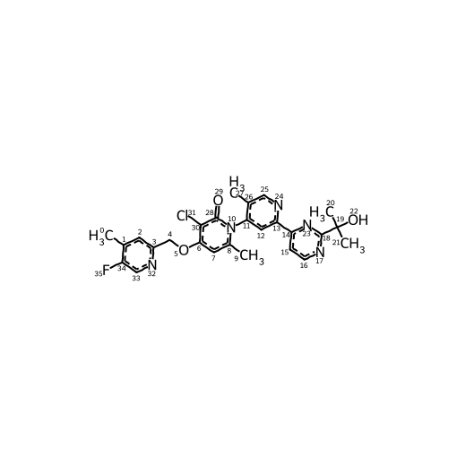 Cc1cc(COc2cc(C)n(-c3cc(-c4ccnc(C(C)(C)O)n4)ncc3C)c(=O)c2Cl)ncc1F